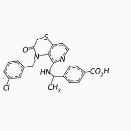 CC(Nc1nccc2c1N(Cc1cccc(Cl)c1)C(=O)CS2)c1ccc(C(=O)O)cc1